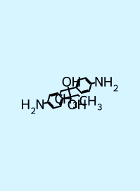 CCC(O)(c1ccc(N)cc1)C(O)(CC)c1ccc(N)cc1